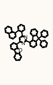 c1ccc(C2(c3ccccc3)c3ccccc3-c3c(-c4nc(-c5ccccc5-c5cccc6ccccc56)cc(-c5cccc6c5oc5ccccc56)n4)cccc32)cc1